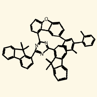 Cc1ccccc1-c1cc(-c2ccc3oc4cccc(-c5nc(-c6cccc7c6C(C)(C)c6ccccc6-7)nc(-c6cccc7c6C(C)(C)c6ccccc6-7)n5)c4c3c2)ccc1C